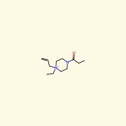 C=CC[N+]1(CC)CCN(C(=O)CC)CC1